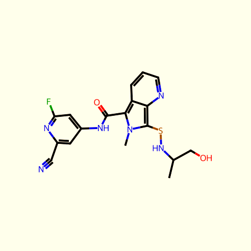 CC(CO)NSc1c2ncccc2c(C(=O)Nc2cc(F)nc(C#N)c2)n1C